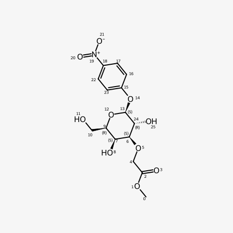 COC(=O)CO[C@H]1[C@@H](O)[C@@H](CO)O[C@@H](Oc2ccc([N+](=O)[O-])cc2)[C@@H]1O